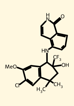 COc1cc2c(cc1Cl)C(C)(C)CC(O)(C(F)(F)F)C2Nc1cccc2c(=O)[nH]ccc12